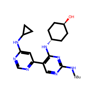 CCCCNc1ncc(-c2cc(NC3CC3)ncn2)c(N[C@H]2CC[C@H](O)CC2)n1